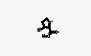 COC(=O)C1=NCCC1Br